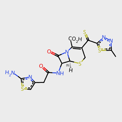 Cc1nnc(C(=S)C2=C(C(=O)O)N3C(=O)C(NC(=O)Cc4csc(N)n4)[C@@H]3SC2)s1